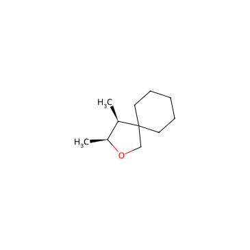 C[C@@H]1OCC2(CCCCC2)[C@@H]1C